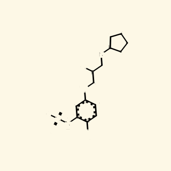 CS(=O)(=O)Nc1cc(OCC(O)CNC2CCCC2)ccc1O